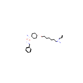 C=CCN(C)CCCCCCCO[C@H]1CC[C@H](N(C)S(=O)(=O)NCc2ccccc2)CC1